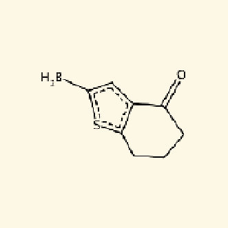 Bc1cc2c(s1)CCCC2=O